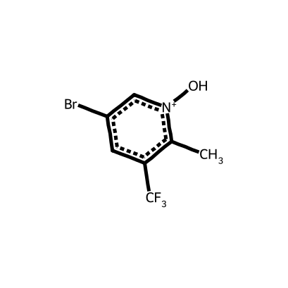 Cc1c(C(F)(F)F)cc(Br)c[n+]1O